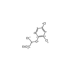 CCOC(=O)C(CC)Oc1ncc(Cl)cc1Cl